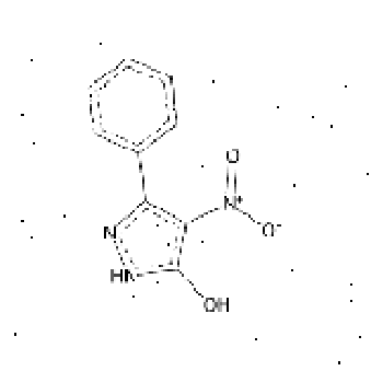 O=[N+]([O-])c1c(-c2ccccc2)n[nH]c1O